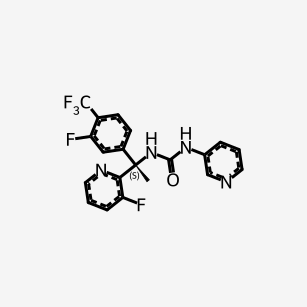 C[C@](NC(=O)Nc1cccnc1)(c1ccc(C(F)(F)F)c(F)c1)c1ncccc1F